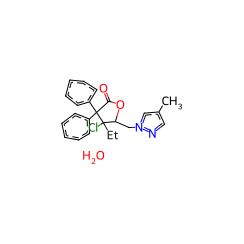 CCC1(Cl)C(Cn2cc(C)cn2)OC(=O)C1(c1ccccc1)c1ccccc1.O